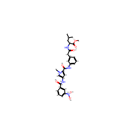 COC(=O)C(CC(C)C)NC(=O)Cc1cccc(NC(=O)c2cc(NC(=O)c3cccc([N+](=O)[O-])c3)cn2C)c1